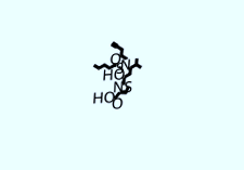 C#CCCCN(SC(=O)CCCC)C(CC(O)c1nc(C(=O)O)cs1)C(C)C